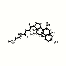 C[C@H](CCC(=O)NCCC(=O)O)[C@H]1CCC2C3C(C[C@H](O)[C@@]21C)[C@@]1(C)CC[C@@H](O)C[C@H]1C[C@H]3O